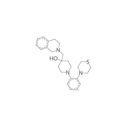 OC1(CN2CCc3ccccc3C2)CCN(c2cc[c]cc2N2CCSCC2)CC1